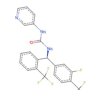 O=C(Nc1cccnc1)N[C@@H](c1ccc(C(F)(F)F)c(F)c1)c1ccccc1C(F)(F)F